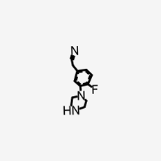 N#CCc1ccc(F)c(N2CCNCC2)c1